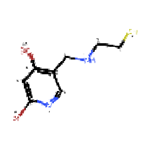 SCCNCc1cnc(Br)cc1Br